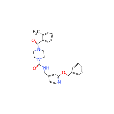 O=C(NCc1ccnc(OCc2ccccc2)c1)N1CCN(C(=O)c2ccccc2C(F)(F)F)CC1